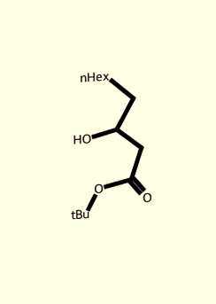 CCCCCCCC(O)CC(=O)OC(C)(C)C